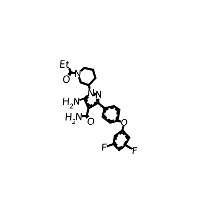 CCC(=O)N1CCCC(n2nc(-c3ccc(Oc4cc(F)cc(F)c4)cc3)c(C(N)=O)c2N)C1